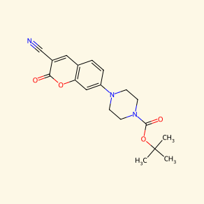 CC(C)(C)OC(=O)N1CCN(c2ccc3cc(C#N)c(=O)oc3c2)CC1